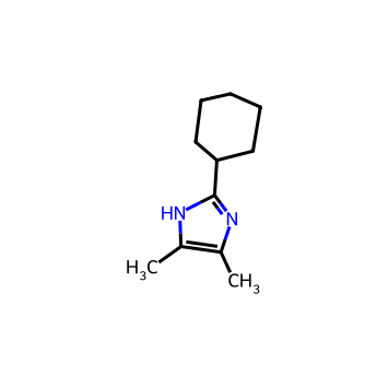 Cc1nc(C2CCCCC2)[nH]c1C